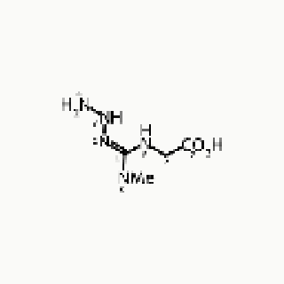 CN/C(=N/NN)NCC(=O)O